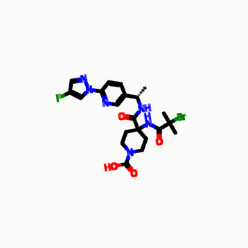 C[C@H](NC(=O)C1(NC(=O)C(C)(C)Br)CCN(C(=O)O)CC1)c1ccc(-n2cc(F)cn2)nc1